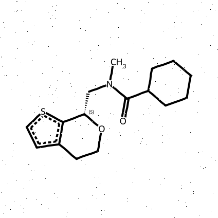 CN(C[C@@H]1OCCc2ccsc21)C(=O)C1CCCCC1